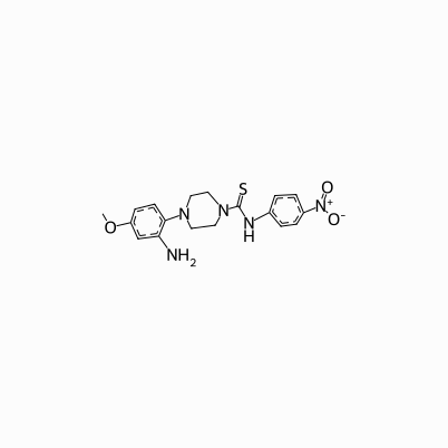 COc1ccc(N2CCN(C(=S)Nc3ccc([N+](=O)[O-])cc3)CC2)c(N)c1